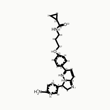 Nc1cnc(C2CN=C3C=CC(c4ccc(OCCCNC(=O)C5CC5)cc4)=NN32)cn1